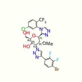 CO[C@@H]1[C@@H](n2cc(-c3ccc(Br)c(F)c3F)nn2)[C@@H](O)[C@@H](CO)O[C@H]1c1nncn1-c1cc(Cl)ccc1C(F)(F)F